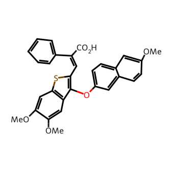 COc1ccc2cc(Oc3c(/C=C(/C(=O)O)c4ccccc4)sc4cc(OC)c(OC)cc34)ccc2c1